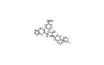 CCc1nccn1CC(=O)NC(C(=O)Nc1ccc([Si](C)(C)C)cc1)c1ccc(OC)cc1